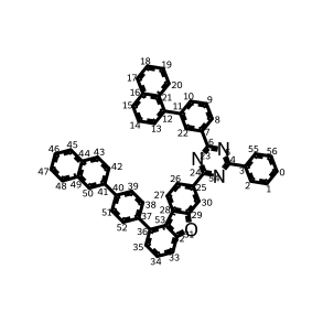 c1ccc(-c2nc(-c3cccc(-c4cccc5ccccc45)c3)nc(-c3ccc4c(c3)oc3cccc(-c5ccc(-c6ccc7ccccc7c6)cc5)c34)n2)cc1